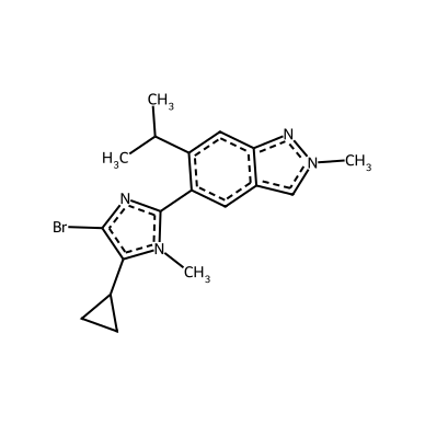 CC(C)c1cc2nn(C)cc2cc1-c1nc(Br)c(C2CC2)n1C